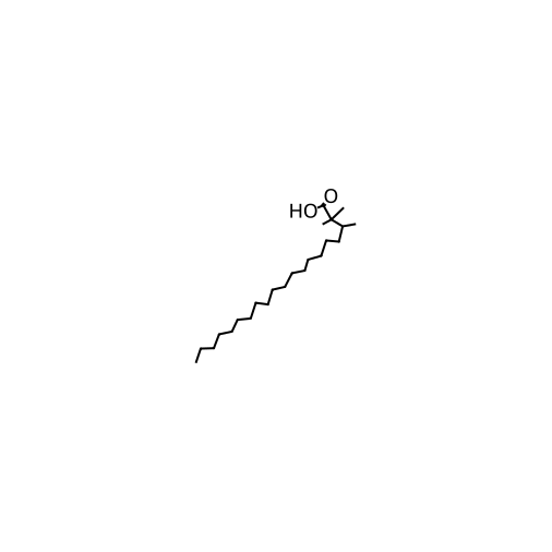 CCCCCCCCCCCCCCCCCC(C)C(C)(C)C(=O)O